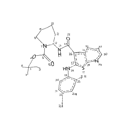 CC(C)(C)OC(=O)N1CCCCC1NC(=O)c1c(Nc2ccc(I)cc2F)sc2ncccc12